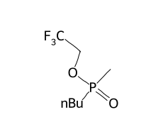 CCCCP(C)(=O)OCC(F)(F)F